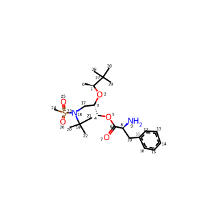 C[C@H](O[C@H](COC(=O)[C@@H](N)Cc1ccccc1)CN(C(C)(C)C)S(C)(=O)=O)C(C)(C)C